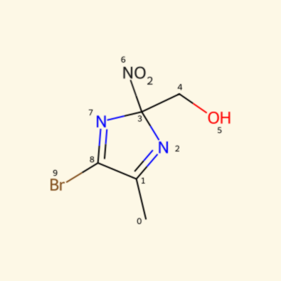 CC1=NC(CO)([N+](=O)[O-])N=C1Br